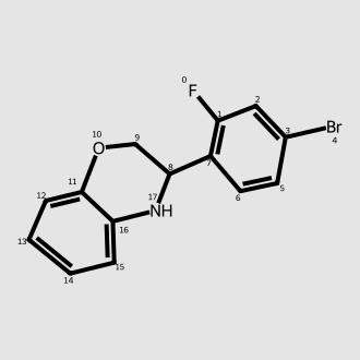 Fc1cc(Br)ccc1C1COc2ccccc2N1